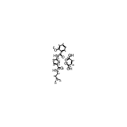 COc1ccccc1C(=O)Nc1nc(C(=O)NCCN(C)C)cs1.O=C(O)/C=C\C(=O)O